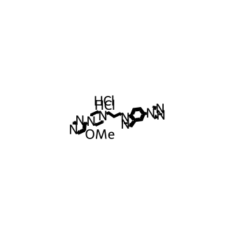 COc1cncnc1N1CCN(CCCn2ncc3cc(-n4cnnc4)ccc32)CC1.Cl.Cl